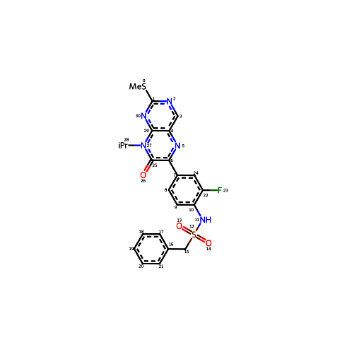 CSc1ncc2nc(-c3ccc(NS(=O)(=O)Cc4ccccc4)c(F)c3)c(=O)n(C(C)C)c2n1